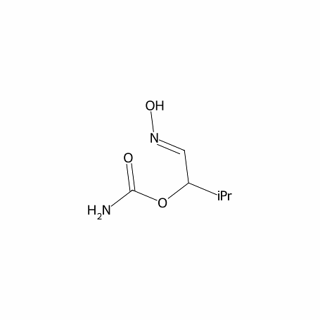 CC(C)C(C=NO)OC(N)=O